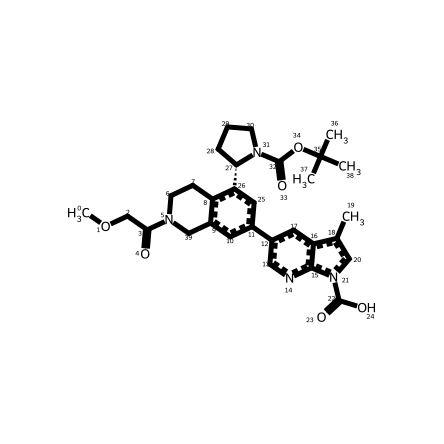 COCC(=O)N1CCc2c(cc(-c3cnc4c(c3)c(C)cn4C(=O)O)cc2[C@@H]2CCCN2C(=O)OC(C)(C)C)C1